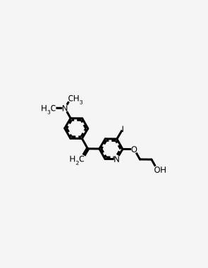 C=C(c1ccc(N(C)C)cc1)c1cnc(OCCO)c(I)c1